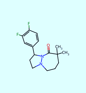 CC1(C)CCCN2CCC(c3ccc(F)c(F)c3)N2C1=O